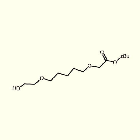 CC(C)(C)OC(=O)COCCCCCOCCO